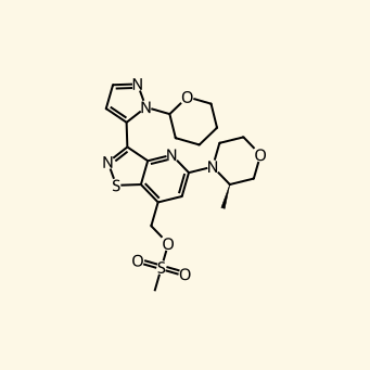 C[C@@H]1COCCN1c1cc(COS(C)(=O)=O)c2snc(-c3ccnn3C3CCCCO3)c2n1